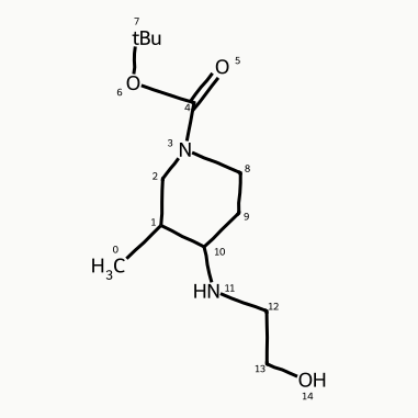 CC1CN(C(=O)OC(C)(C)C)CCC1NCCO